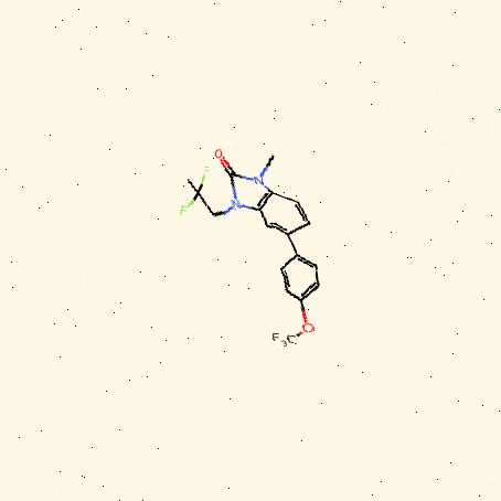 Cn1c(=O)n(CC(C)(F)F)c2cc(-c3ccc(OC(F)(F)F)cc3)ccc21